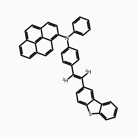 [2H]/C(=C(/[2H])c1ccc2sc3ccccc3c2c1)c1ccc(N(c2ccccc2)c2ccc3ccc4cccc5ccc2c3c45)cc1